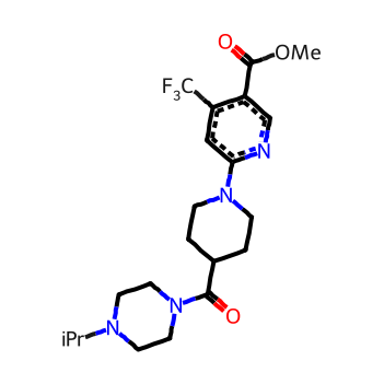 COC(=O)c1cnc(N2CCC(C(=O)N3CCN(C(C)C)CC3)CC2)cc1C(F)(F)F